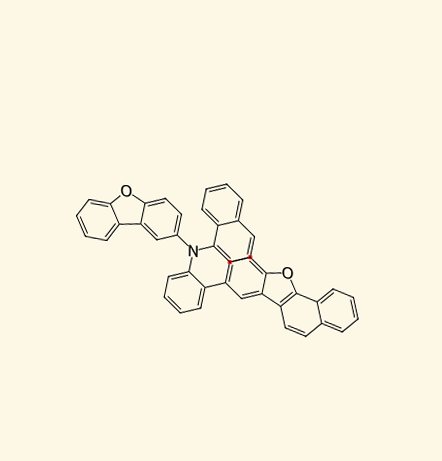 c1ccc(N(c2ccc3oc4ccccc4c3c2)c2cccc3ccccc23)c(-c2ccc3oc4c5ccccc5ccc4c3c2)c1